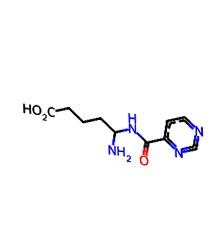 NC(CCCC(=O)O)NC(=O)c1ccncn1